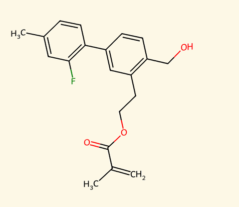 C=C(C)C(=O)OCCc1cc(-c2ccc(C)cc2F)ccc1CO